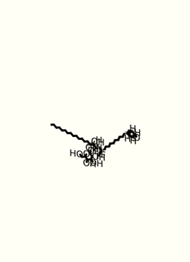 CCCCCCCCCCCCCC[C@@H](O)[C@@H](O)[C@H](COC1OC(CO)C(O)C(O)C1O)N[C@@H](CCCCCCCCCC[C@H]1C[C@@H]2C[C@H]1[C@@H]1O[C@H]21)C(F)(F)F